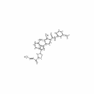 CC#CC(=O)N1CCC(c2nc(-c3ccc(C(=O)Nc4cc(C5CC5)ccn4)c(C#N)c3)n3c(N)nccc23)C1